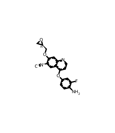 [C-]#[N+]c1cc2c(Oc3ccc(N)c(F)c3)ccnc2cc1OC[C@H]1CO1